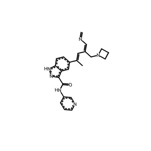 C=N/C=C(\C=C(/C)c1ccc2[nH]nc(C(=O)Nc3cccnc3)c2c1)CN1CCC1